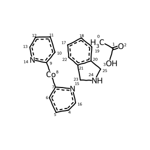 CC(=O)O.c1cc[c]([Co][c]2ccccn2)nc1.c1ccc2c(c1)CNC2